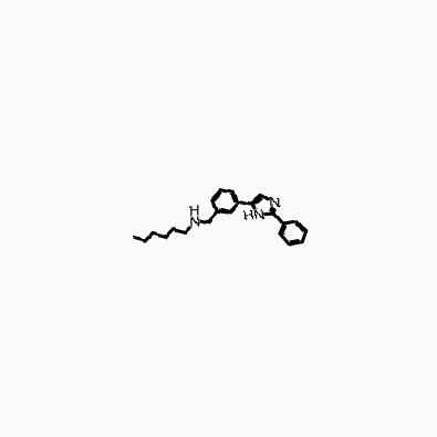 CCCCCCNCc1cccc(-c2cnc(-c3ccccc3)[nH]2)c1